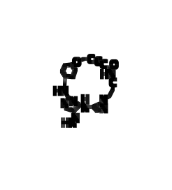 N=Nc1cnc2nc1Nc1cnn(c1)CCCNC(=O)CCCCOc1ccc(cc1)N2